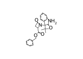 CC(C)(C)C(C(N)=O)(c1ccccc1)N1C(=O)CC1C(=O)OCc1ccccc1